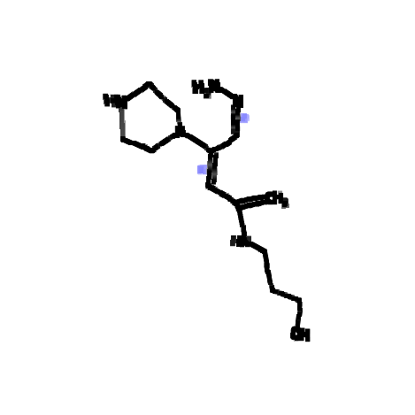 C=C(/C=C(\C=N/N)N1CCNCC1)NCCCO